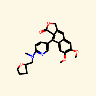 COc1cc2cc3c(c(-c4ccc(N(C)CC5CCCO5)nc4)c2cc1OC)C(=O)OC3